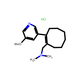 COc1cncc(C2=C(CN(C)C)CCCCCC2)c1.Cl